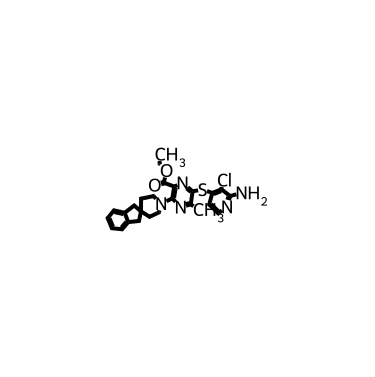 CCOC(=O)c1nc(Sc2ccnc(N)c2Cl)c(C)nc1N1CCC2(CC1)Cc1ccccc1C2